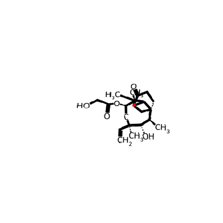 C=C[C@@]1(C)C[C@@H](OC(=O)CO)[C@]2(C)C(C)CC34C[C@@](CCC3=O)(C42)[C@@H](C)[C@@H]1O